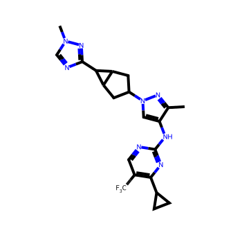 Cc1nn(C2CC3C(C2)C3c2ncn(C)n2)cc1Nc1ncc(C(F)(F)F)c(C2CC2)n1